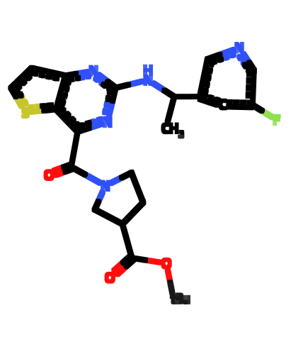 CC(Nc1nc(C(=O)N2CCC(C(=O)OC(C)(C)C)C2)c2sccc2n1)c1cncc(F)c1